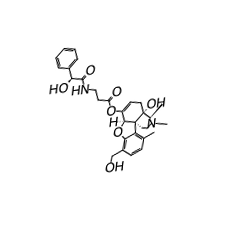 Cc1ccc(CO)c2c1[C@]13CCN(C)[C@H](C)[C@]1(O)CC=C(OC(=O)CCNC(=O)[C@@H](O)c1ccccc1)[C@@H]3O2